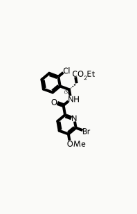 CCOC(=O)C[C@H](NC(=O)c1ccc(OC)c(Br)n1)c1ccccc1Cl